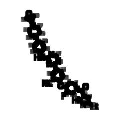 CCc1cc(C(=O)N2CC[C@H](Oc3ccc(-c4ncnc(Nc5ccc(N6CCN(C7COC7)CC6)cc5)n4)cc3C#N)[C@H](F)C2)[nH]n1